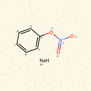 O=[N+]([O-])Oc1ccccc1.[NaH]